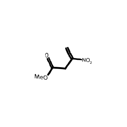 C=C(CC(=O)OC)[N+](=O)[O-]